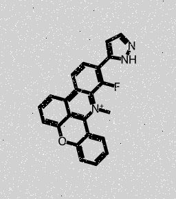 C[n+]1c2c3c(cccc3c3ccc(-c4ccn[nH]4)c(F)c31)Oc1ccccc1-2